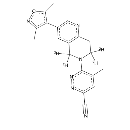 [2H]C1([2H])Cc2ncc(-c3c(C)noc3C)cc2C([2H])([2H])N1c1nnc(C#N)cc1C